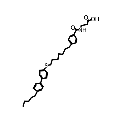 CCCCCc1ccc(-c2ccc(SCCCCCCCc3ccc(C(=O)NCCC(=O)O)cc3)cc2)cc1